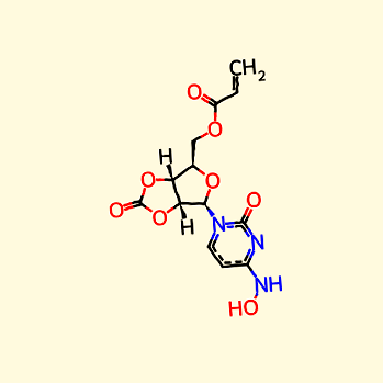 C=CC(=O)OC[C@H]1O[C@@H](n2ccc(NO)nc2=O)[C@@H]2OC(=O)O[C@@H]21